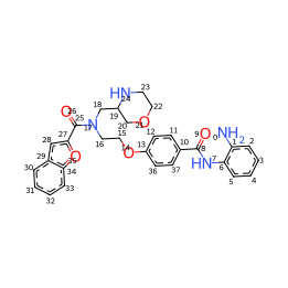 Nc1ccccc1NC(=O)c1ccc(OCCN(CC2COCCN2)C(=O)c2cc3ccccc3o2)cc1